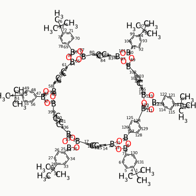 CC(C)(C)c1ccc(B2OB3OB(O2)c2ccc(cc2)B2OB(OB(c4ccc(C(C)(C)C)cc4)O2)c2ccc(cc2)B2OB(OB(c4ccc(C(C)(C)C)cc4)O2)c2ccc(cc2)B2OB(OB(c4ccc(C(C)(C)C)cc4)O2)c2ccc(cc2)B2OB(OB(c4ccc(C(C)(C)C)cc4)O2)c2ccc(cc2)B2OB(OB(c4ccc(C(C)(C)C)cc4)O2)c2ccc3cc2)cc1